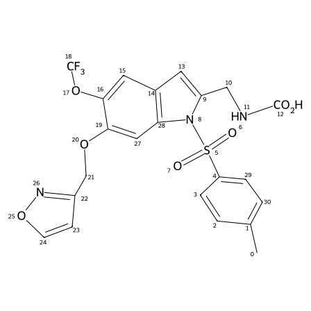 Cc1ccc(S(=O)(=O)n2c(CNC(=O)O)cc3cc(OC(F)(F)F)c(OCc4ccon4)cc32)cc1